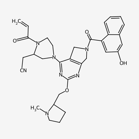 C=CC(=O)N1CCN(c2nc(OCC3CCCN3C)nc3c2CN(C(=O)c2cc(O)cc4ccccc24)C3)CC1CC#N